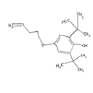 C=CCCOc1cc(C(C)(C)C)c(O)c(C(C)(C)C)c1